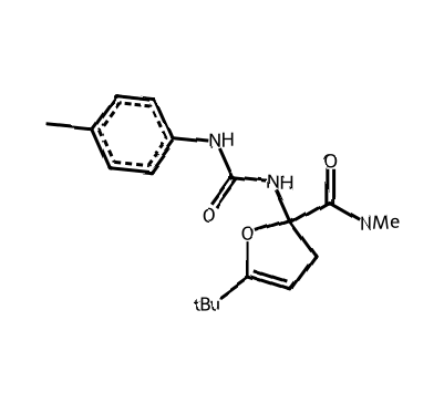 CNC(=O)C1(NC(=O)Nc2ccc(C)cc2)CC=C(C(C)(C)C)O1